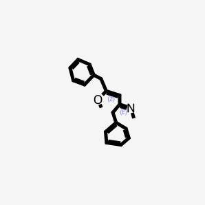 C/N=C(/C=C(/Cc1ccccc1)OC)Cc1ccccc1